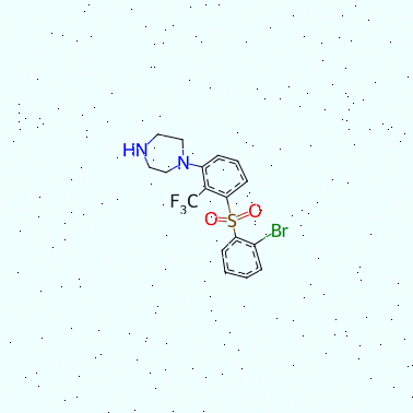 O=S(=O)(c1ccccc1Br)c1cccc(N2CCNCC2)c1C(F)(F)F